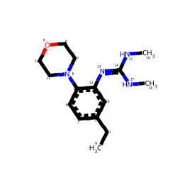 CCc1ccc(N2CCOCC2)c(N=C(NC)NC)c1